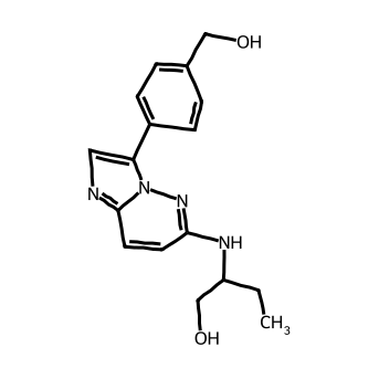 CCC(CO)Nc1ccc2ncc(-c3ccc(CO)cc3)n2n1